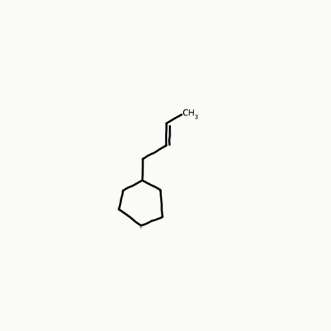 CC=CCC1CC[CH]CC1